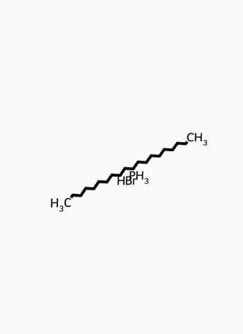 Br.CCCCCCCCCCCCCCCCCCCC.P